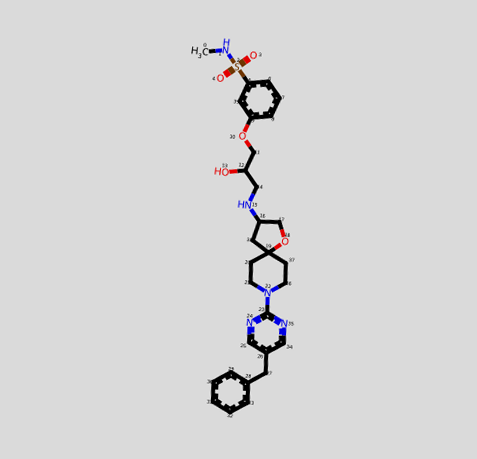 CNS(=O)(=O)c1cccc(OCC(O)CNC2COC3(CCN(c4ncc(Cc5ccccc5)cn4)CC3)C2)c1